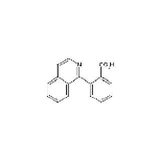 O=C(O)c1ccccc1-c1nccc2ccccc12